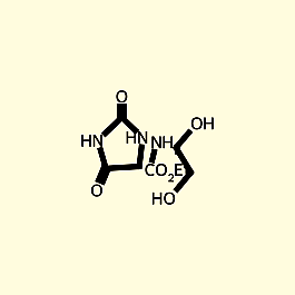 CCOC(N)=O.O=C1CNC(=O)N1.OCCO